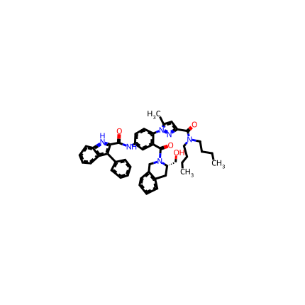 CCCCN(CCCC)C(=O)c1cc(C)n(-c2ccc(NC(=O)c3[nH]c4ccccc4c3-c3ccccc3)cc2C(=O)N2Cc3ccccc3C[C@H]2CO)n1